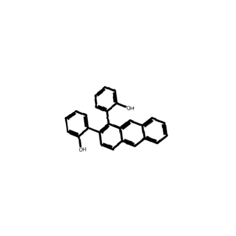 Oc1ccccc1-c1ccc2cc3ccccc3cc2c1-c1ccccc1O